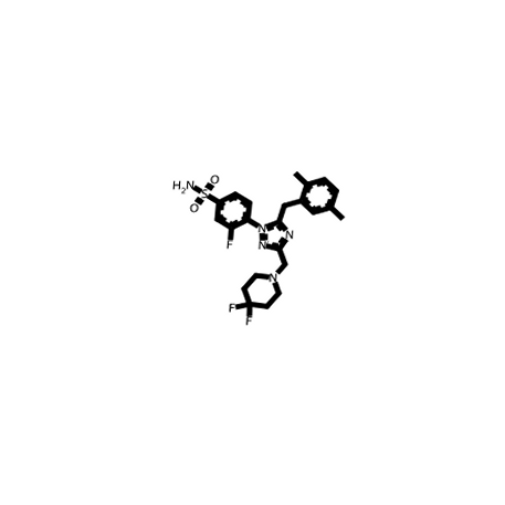 Cc1ccc(C)c(Cc2nc(CN3CCC(F)(F)CC3)nn2-c2ccc(S(N)(=O)=O)cc2F)c1